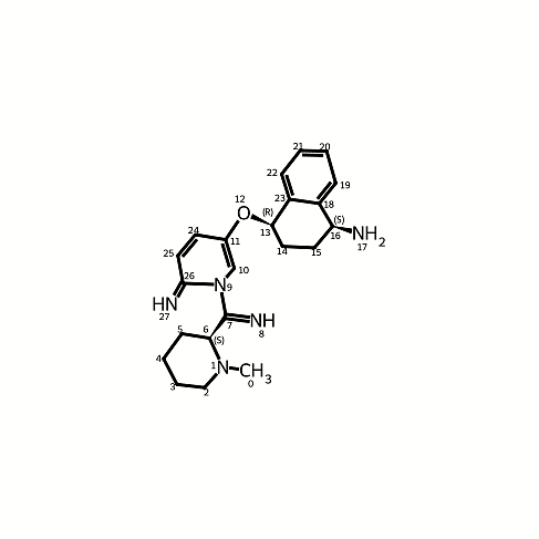 CN1CCCC[C@H]1C(=N)n1cc(O[C@@H]2CC[C@H](N)c3ccccc32)ccc1=N